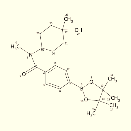 CN(C(=O)c1ccc(B2OC(C)(C)C(C)(C)O2)cc1)C1CCC(C)(O)CC1